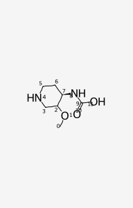 COC1CNCC[C@H]1NC(=O)O